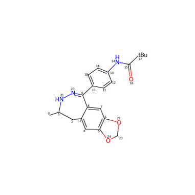 CC1Cc2cc3c(cc2C(c2ccc(NC(=O)C(C)(C)C)cc2)=NN1)OCO3